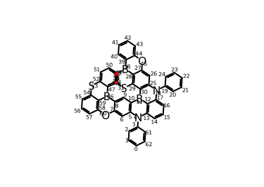 c1ccc(N2c3cc4c(cc3B3c5c2cccc5N(c2ccccc2)c2cc5c6c(c23)Sc2ccccc2B6c2ccccc2O5)B2c3ccccc3Sc3cccc(c32)O4)cc1